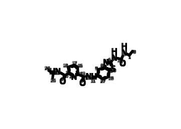 CCNC(=O)Nc1nc2cc(CNC(=O)c3cccc(C(=O)NC(C)C)n3)ccc2s1